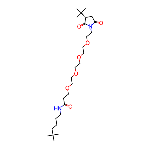 CC(C)(C)CCCCNC(=O)CCOCCOCCOCCOCCN1C(=O)C[C@H](C(C)(C)C)C1=O